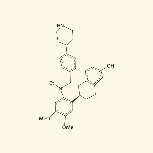 CCN(Cc1ccc(C2CCNCC2)cc1)c1cc(OC)c(OC)cc1[C@@H]1CCc2cc(O)ccc2C1